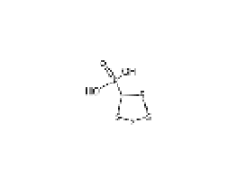 O=P(O)(O)C1SSSS1